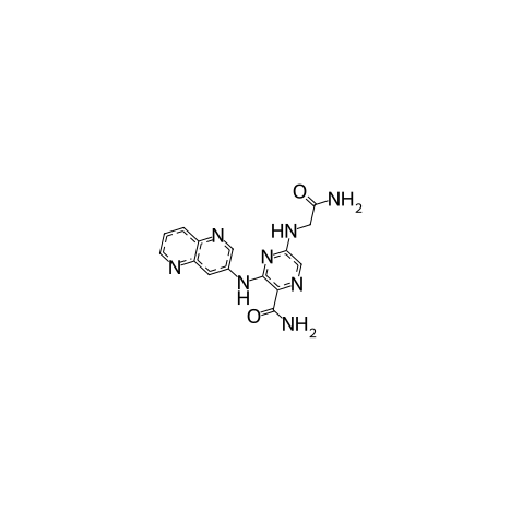 NC(=O)CNc1cnc(C(N)=O)c(Nc2cnc3cccnc3c2)n1